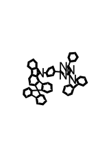 c1ccc(-c2nc(-c3ccc(-n4c5ccccc5c5ccc6c(c54)-c4ccccc4C64c5ccccc5-c5ccccc54)cc3)nc(-n3c4ccccc4c4ccccc43)n2)cc1